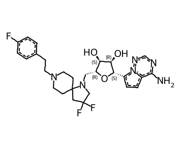 Nc1ncnn2c([C@@H]3O[C@H](CN4CC(F)(F)CC45CCN(CCc4ccc(F)cc4)CC5)[C@@H](O)[C@H]3O)ccc12